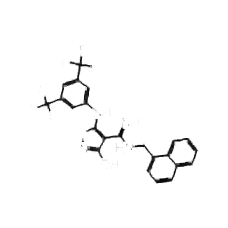 N=C(NCc1cccc2ccccc12)c1c(O)nsc1Nc1cc(C(F)(F)F)cc(C(F)(F)F)c1